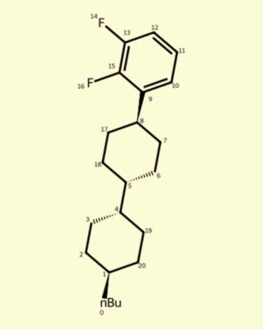 CCCC[C@H]1CC[C@H]([C@H]2CC[C@H](c3cccc(F)c3F)CC2)CC1